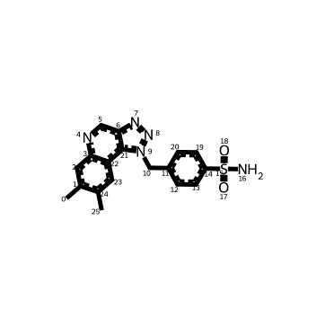 Cc1cc2ncc3nnn(Cc4ccc(S(N)(=O)=O)cc4)c3c2cc1C